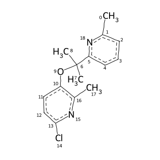 Cc1cccc(C(C)(C)Oc2ccc(Cl)nc2C)n1